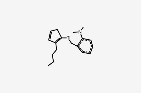 CCCCC1=[C]([Ti][CH2]c2ccccc2N(C)C)CC=C1